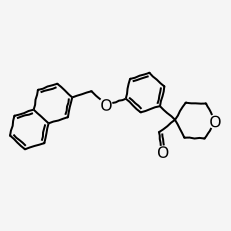 O=CC1(c2cccc(OCc3ccc4ccccc4c3)c2)CCOCC1